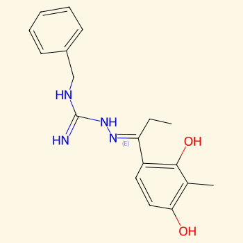 CC/C(=N\NC(=N)NCc1ccccc1)c1ccc(O)c(C)c1O